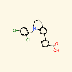 O=C(O)c1cccc(-c2ccc3c(c2)N(Cc2ccc(Cl)cc2Cl)CCCC3)c1